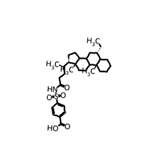 CC[C@H]1CC2C(CC[C@@]3(C)C2CC[C@@H]3[C@H](C)CCC(=O)NS(=O)(=O)c2ccc(C(=O)O)cc2)[C@@]2(C)CCCCC12